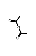 C[C](=O)[Pt][C](C)=O